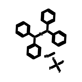 CCCC.F[B-](F)(F)F.c1ccc([P]([Rh][P](c2ccccc2)c2ccccc2)c2ccccc2)cc1